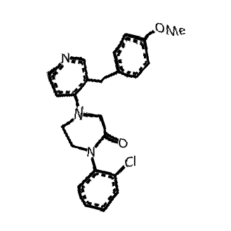 COc1ccc(Cc2cnccc2N2CCN(c3ccccc3Cl)C(=O)C2)cc1